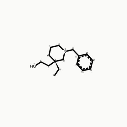 CC[C@@]1(CCO)CCCN(Cc2ccccc2)C1